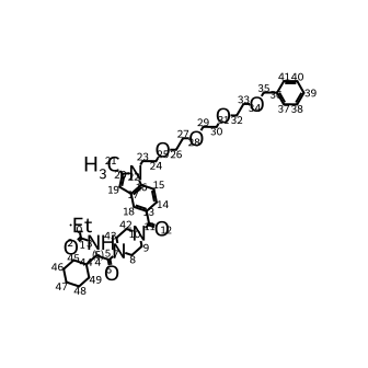 C[CH]C(=O)N[C@H](C(=O)N1CCN(C(=O)c2ccc3c(c2)cc(C)n3CCOCCOCCOCCOCc2ccccc2)CC1)C1CCCCC1